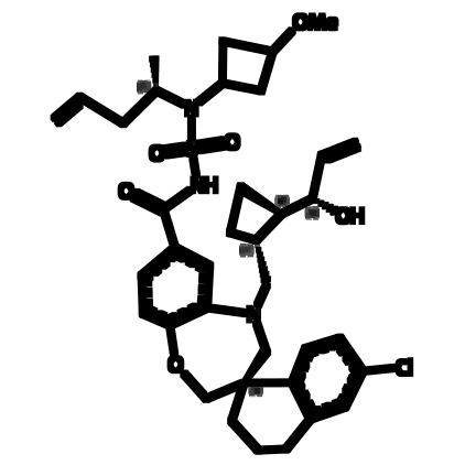 C=CC[C@H](C)N(C1CC(OC)C1)S(=O)(=O)NC(=O)c1ccc2c(c1)N(C[C@@H]1CC[C@H]1[C@@H](O)C=C)C[C@@]1(CCCc3cc(Cl)ccc31)CO2